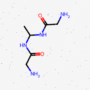 CC(NC(=O)CN)NC(=O)CN